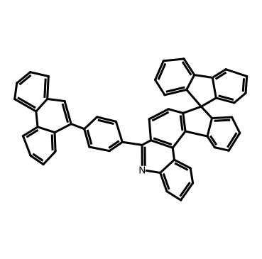 c1ccc2c(c1)-c1ccccc1C21c2ccccc2-c2c1ccc1c(-c3ccc(-c4cc5ccccc5c5ccccc45)cc3)nc3ccccc3c21